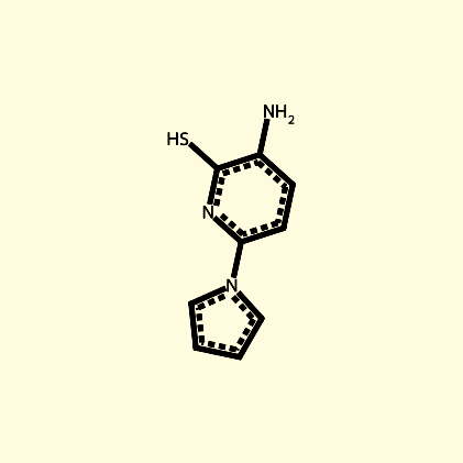 Nc1ccc(-n2cccc2)nc1S